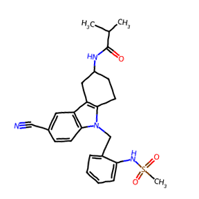 CC(C)C(=O)NC1CCc2c(c3cc(C#N)ccc3n2Cc2ccccc2NS(C)(=O)=O)C1